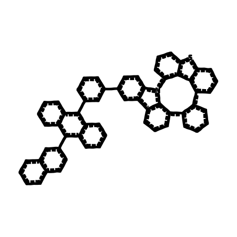 c1cc(-c2ccc3c(c2)c2cccc4c5ccccc5c5cccc6sc7cccc(c7c65)n3c42)cc(-c2c3ccccc3c(-c3ccc4ccccc4c3)c3ccccc23)c1